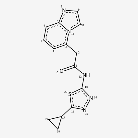 O=C(Cc1cccc2nccn12)Nc1nnc(C2CC2)s1